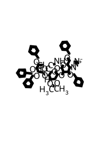 CC1O[C@@H](OC2C(OCc3ccccc3)C(N=[N+]=[N-])C(COCc3ccccc3)O[C@@H]2OC(=N)C(Cl)(Cl)Cl)C2OC(C)(C)O[C@@H]2[C@H]1O[C@@H]1OC[C@@H](OCc2ccccc2)C(OCc2ccccc2)C1OCc1ccccc1